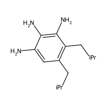 CC(C)Cc1cc(N)c(N)c(N)c1CC(C)C